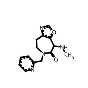 CNC1C(=O)N(Cc2ccccn2)CCc2ncoc21